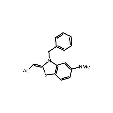 CNc1ccc2c(c1)N(Cc1ccccc1)/C(=C/C(C)=O)S2